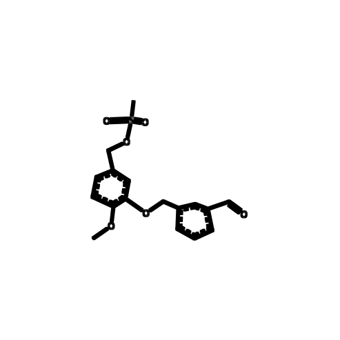 COc1ccc(COS(C)(=O)=O)cc1OCc1cccc(C=O)c1